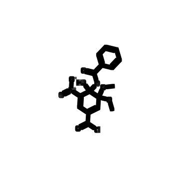 COC1(OC)C=C(C(=O)Cl)C=C([N+](=O)[O-])C1(O)OC(=O)c1ccccc1